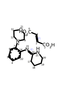 O=C(O)/C=C/C(=O)O.c1ccc(N2CCOCC2)c(/N=C2\CCCCN2)c1